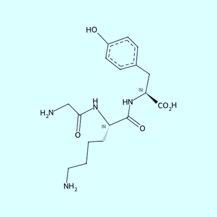 NCCCC[C@H](NC(=O)CN)C(=O)N[C@@H](Cc1ccc(O)cc1)C(=O)O